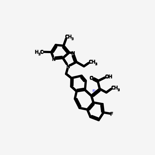 CC/C(C(=O)O)=C1/c2ccc(Cn3c(CC)nc4c(C)cc(C)nc43)cc2C=Cc2ccc(F)cc21